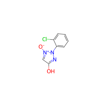 [O-][n+]1cc(O)nn1-c1ccccc1Cl